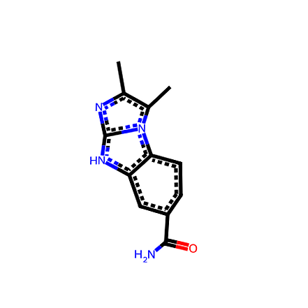 Cc1nc2[nH]c3cc(C(N)=O)ccc3n2c1C